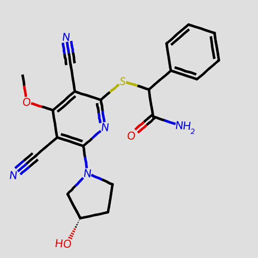 COc1c(C#N)c(SC(C(N)=O)c2ccccc2)nc(N2CC[C@H](O)C2)c1C#N